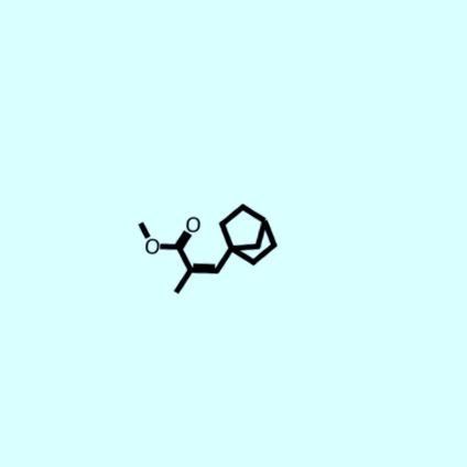 COC(=O)C(C)=CC12CCC(CC1)C2